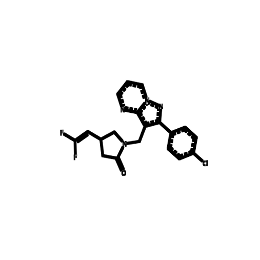 O=C1CC(C=C(F)F)CN1Cc1c(-c2ccc(Cl)cc2)nn2cccnc12